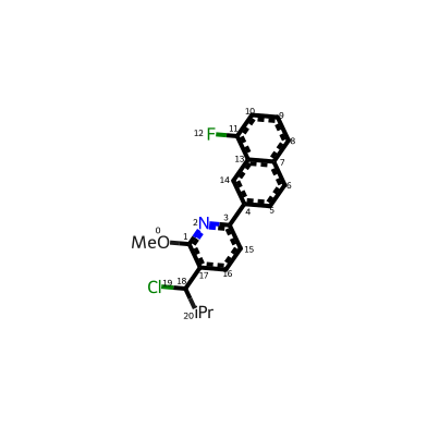 COc1nc(-c2ccc3cccc(F)c3c2)ccc1C(Cl)C(C)C